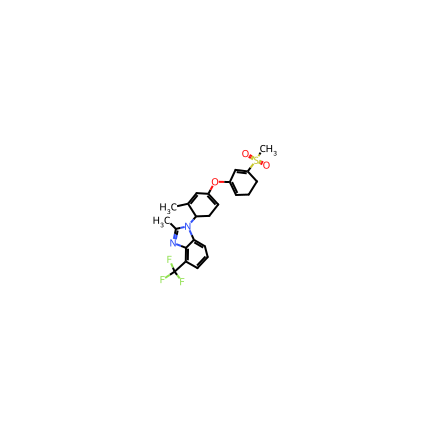 CC1=CC(OC2=CCCC(S(C)(=O)=O)=C2)=CCC1n1c(C)nc2c(C(F)(F)F)cccc21